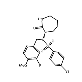 COc1ccc(CN([C@@H]2CCCCNC2=O)S(=O)(=O)c2ccc(Cl)cc2)cc1F